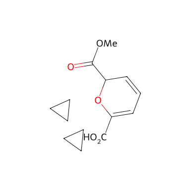 C1CC1.C1CC1.COC(=O)C1C=CC=C(C(=O)O)O1